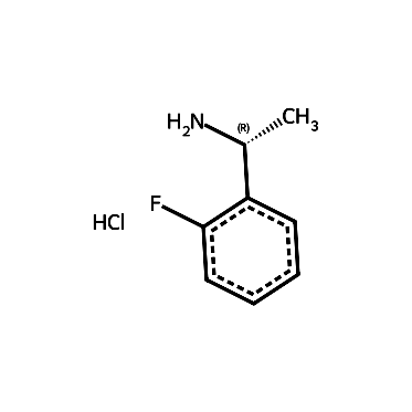 C[C@@H](N)c1ccccc1F.Cl